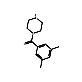 Cc1cc(C)cc(C(=O)N2CCNCC2)c1